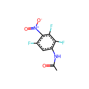 CC(=O)Nc1cc(F)c([N+](=O)[O-])c(F)c1F